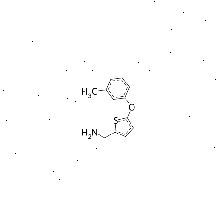 Cc1cccc(Oc2ccc(CN)s2)c1